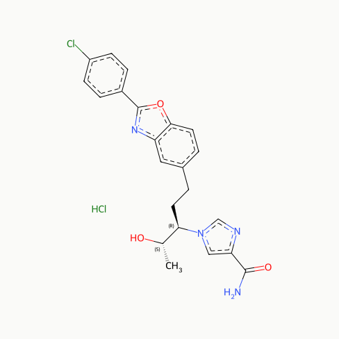 C[C@H](O)[C@@H](CCc1ccc2oc(-c3ccc(Cl)cc3)nc2c1)n1cnc(C(N)=O)c1.Cl